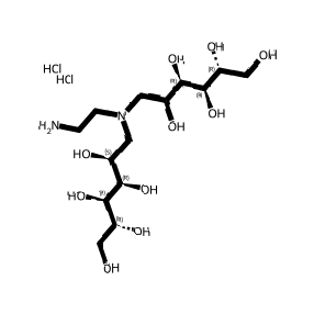 Cl.Cl.NCCN(CC(O)[C@@H](O)[C@H](O)[C@H](O)CO)C[C@H](O)[C@@H](O)[C@H](O)[C@H](O)CO